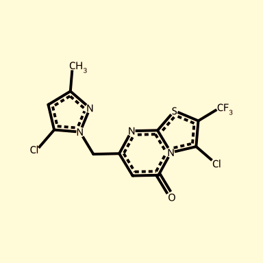 Cc1cc(Cl)n(Cc2cc(=O)n3c(Cl)c(C(F)(F)F)sc3n2)n1